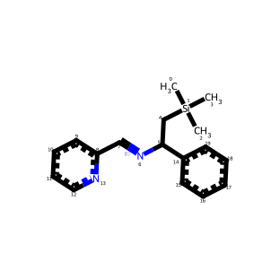 C[Si](C)(C)CC(/N=C/c1ccccn1)c1ccccc1